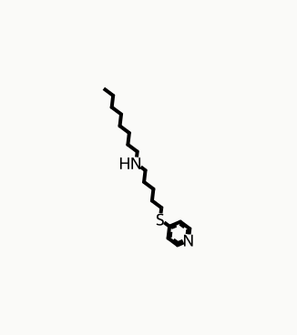 CCCCCCCCNCCCCCSc1ccncc1